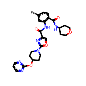 CCc1ccc(C(=O)NC2CCOCC2)c(NC(=O)c2coc(N3CCC(Oc4ncccn4)CC3)n2)c1